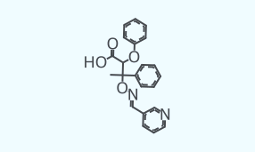 CC(ON=Cc1cccnc1)(c1ccccc1)C(Oc1ccccc1)C(=O)O